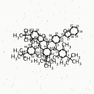 Cc1cc(C(C)(C)C)cc(C)c1N1c2cc(-c3cc4ccccc4o3)ccc2B2c3oc4ccc(C(C)(C)C)cc4c3N(c3c(C)cc(C(C)(C)C)cc3C)c3cc(C(C)(C)C)cc1c32